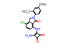 COc1ccc(N2Cc3c(Cl)ccc(Nc4c(N)c(=O)c4=O)c3C2=O)c(C(=O)O)c1